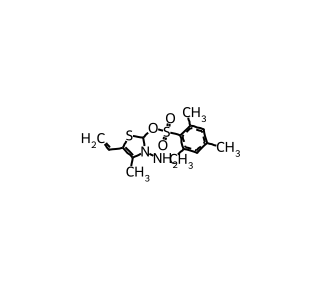 C=CC1=C(C)N(N)C(OS(=O)(=O)c2c(C)cc(C)cc2C)S1